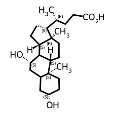 C[C@H](CCC(=O)O)[C@H]1CC[C@H]2C3[C@@H](O)CC4C[C@@H](O)CC[C@]4(C)[C@H]3CC[C@]12C